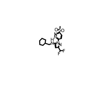 CS(=O)(=O)c1ccc(-n2nc(C(F)F)cc2NCC2CCCCC2)nn1